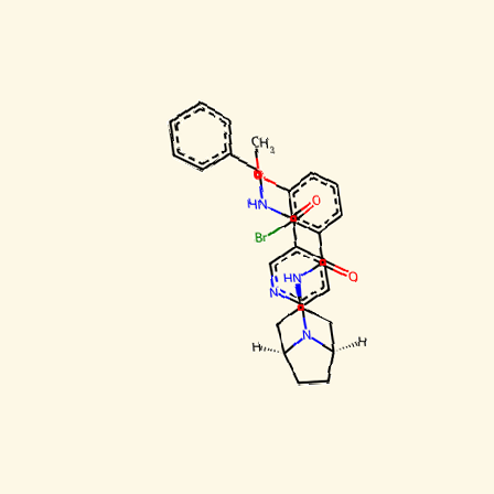 COc1cccc(C(=O)N[C@H]2C[C@H]3CC[C@@H](C2)N3c2ccc(C(=O)NCc3ccccc3)cn2)c1Br